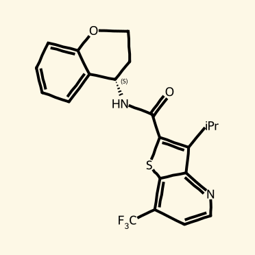 CC(C)c1c(C(=O)N[C@H]2CCOc3ccccc32)sc2c(C(F)(F)F)ccnc12